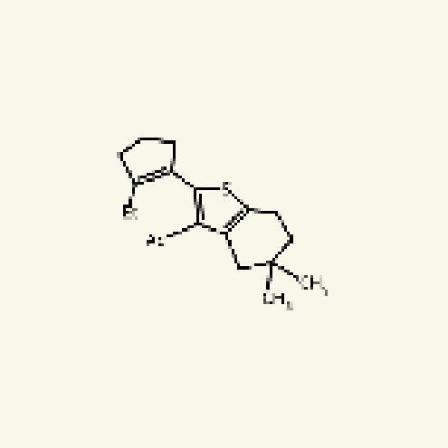 CCC1=C(c2sc3c(c2C(C)=O)CC(C)(C)CC3)CCC1